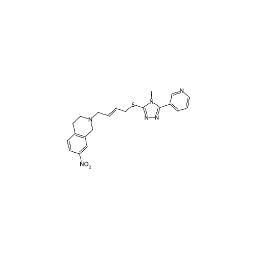 Cn1c(SCC=CCN2CCc3ccc([N+](=O)[O-])cc3C2)nnc1-c1cccnc1